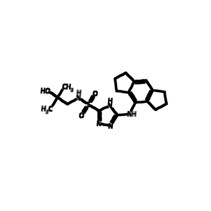 CC(C)(O)CNS(=O)(=O)c1nnc(Nc2c3c(cc4c2CCC4)CCC3)[nH]1